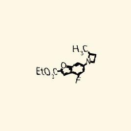 CCOC(=O)c1cc2c(F)cc(N3CCC3C)cc2o1